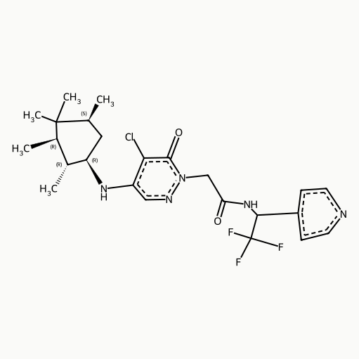 C[C@@H]1[C@@H](C)C(C)(C)[C@@H](C)C[C@H]1Nc1cnn(CC(=O)NC(c2ccncc2)C(F)(F)F)c(=O)c1Cl